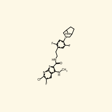 CNc1c(C(=O)NCCc2cc(F)c(N3CC4CCC(C3)N4)cc2F)sc2nc(Cl)c(F)cc12